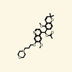 COc1cc2c(C(OC(C)=O)c3ccc4c(c3OC)C=CC(C)(C)O4)ccnc2cc1OCCCN1CCOCC1